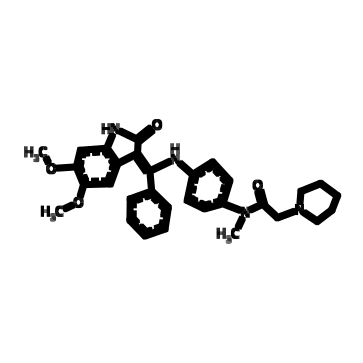 COc1cc2c(cc1OC)/C(=C(/Nc1ccc(N(C)C(=O)CN3CCCCC3)cc1)c1ccccc1)C(=O)N2